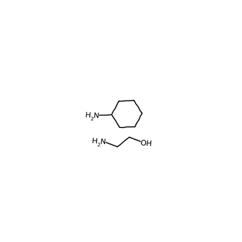 NC1CCCCC1.NCCO